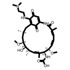 CO[C@H]1C=CC=C(C)C(=O)NC2=CC(=O)C(NCCN(C)C)=C(C[C@@H](C)C[C@H](OC)[C@H](O)[C@@H](C)C=C(C)[C@@H]1NC(=O)O)C2=O